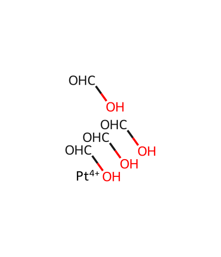 O=[C-]O.O=[C-]O.O=[C-]O.O=[C-]O.[Pt+4]